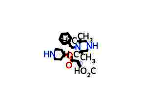 CC1(C)CNCC(C)(C)N1Cc1ccccc1.O=C(O)/C=C\C(=O)OC1CCNCC1